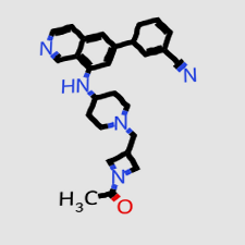 CC(=O)N1CC(CN2CCC(Nc3cc(C4C=C(C#N)C=CC4)cc4ccncc34)CC2)C1